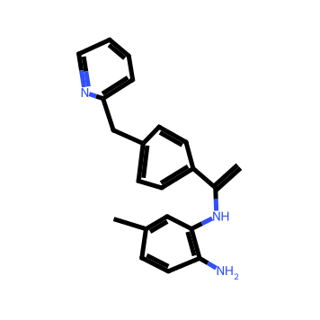 C=C(Nc1cc(C)ccc1N)c1ccc(Cc2ccccn2)cc1